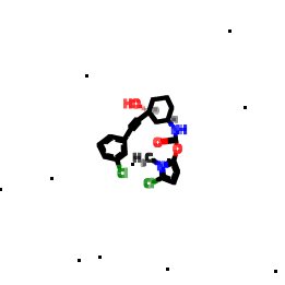 Cn1c(Cl)ccc1OC(=O)N[C@@H]1CCC[C@](O)(C#Cc2cccc(Cl)c2)C1